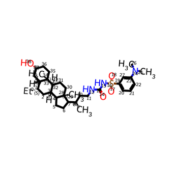 CC[C@H]1C[C@H]2C3CCC([C@H](C)CCNC(=O)NS(=O)(=O)c4cccc(N(C)C)c4)[C@@]3(C)CC[C@@H]2[C@@]2(C)CC[C@@H](O)C[C@@H]12